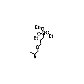 C=C(C)COCCC[Si](OCC)(OCC)OCC